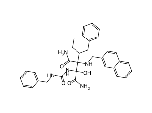 CCC(Cc1ccccc1)C(NCc1ccc2ccccc2c1)(C(N)=O)C(O)(NC(=O)NCc1ccccc1)C(N)=O